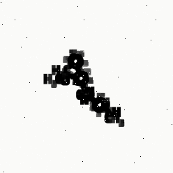 CNc1ccc(-c2noc(-c3ccc(-c4ccccc4C)c(COC)c3)n2)cn1